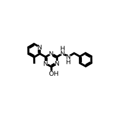 Cc1cccnc1-c1nc(O)nc(NNCc2ccccc2)n1